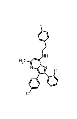 Cc1cc(NCCc2ccc(F)cc2)n2nc(-c3ccccc3Cl)c(-c3ccc(Cl)cc3)c2n1